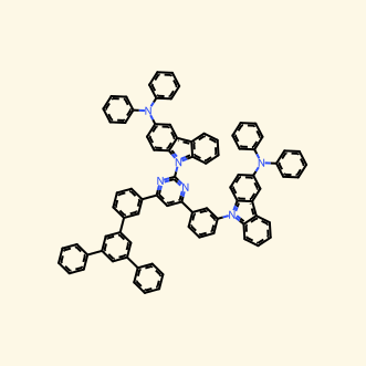 c1ccc(-c2cc(-c3ccccc3)cc(-c3cccc(-c4cc(-c5cccc(-n6c7ccccc7c7cc(N(c8ccccc8)c8ccccc8)ccc76)c5)nc(-n5c6ccccc6c6cc(N(c7ccccc7)c7ccccc7)ccc65)n4)c3)c2)cc1